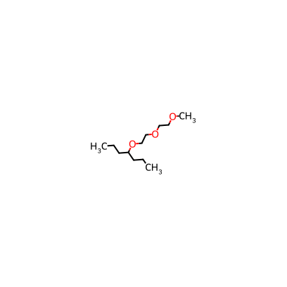 CCCC(CCC)OCCOCCOC